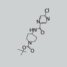 CC(C)(C)OC(=O)N1CCC(NC(=O)c2cnc(Cl)cn2)CC1